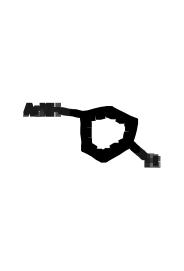 [CH2]Cc1ccc(NC(C)=O)cc1